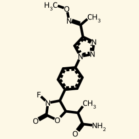 CON=C(C)c1cn(-c2ccc(C3C(C(C)C(N)=O)OC(=O)N3F)cc2)nn1